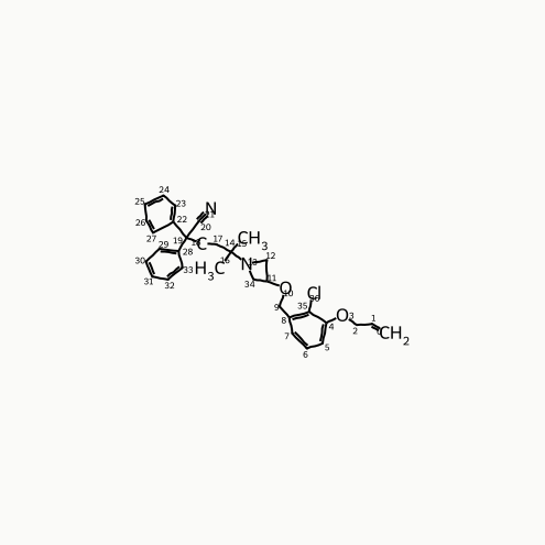 C=CCOc1cccc(COC2CN(C(C)(C)CCC(C#N)(c3ccccc3)c3ccccc3)C2)c1Cl